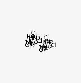 CCNC(=O)n1c(C)c(C)n(-c2ccc(Cl)c(C(=O)NCC3(O)CCCCCC3)c2)c1=O.CCNC(=O)n1c(C)cn(-c2ccc(Cl)c(C(=O)NCC3(O)CCCCCC3)c2)c1=O